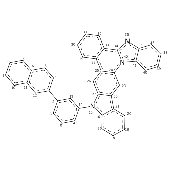 c1cc(-c2ccc3ccccc3c2)cc(-n2c3ccccc3c3cc4c(cc32)c2ccccc2c2nc3ccccc3n42)c1